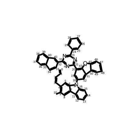 C=C/C=C\c1cc2c(cc1C)c1ccccc1n2-c1cc(-c2nc(-c3ccccc3)nc(-c3ccc4ccccc4c3)n2)c2oc3ccccc3c2c1